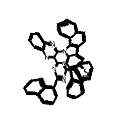 c1ccc(-c2nc(-c3nc4ccccc4nc3-n3c4cc5c(cc4c4ccc6ccccc6c43)sc3ccccc35)nc(-c3cccc4ccccc34)n2)cc1